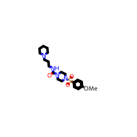 COc1ccc(S(=O)(=O)N2CCN(C(=O)NCCCN3CCCCC3)CC2)cc1